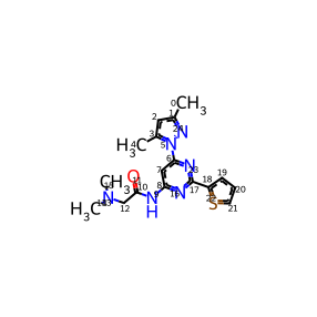 Cc1cc(C)n(-c2cc(NC(=O)CN(C)C)nc(-c3cccs3)n2)n1